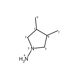 CC1CN(N)CC1C